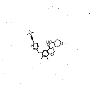 Cc1c(Cc2ccc(C#CS(C)(C)C)nc2)cc2c(c1C)OCN([C@H]1COCC[C@@H]1O)C2=O